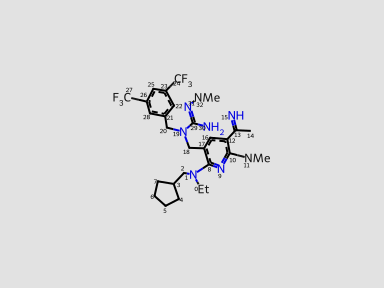 CCN(CC1CCCC1)c1nc(NC)c(C(C)=N)cc1CN(Cc1cc(C(F)(F)F)cc(C(F)(F)F)c1)/C(N)=N/NC